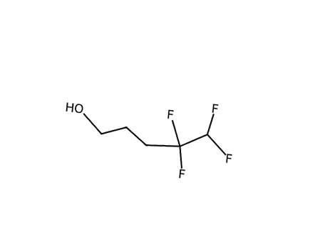 OCCCC(F)(F)C(F)F